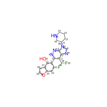 Oc1c(-c2nnc3c(ncn3[C@@H]3CCCNC3)c2C(F)F)ccc2occc12